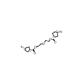 CC(=O)[C@@H]1CC[C@@H](C(=O)OCCOCCOC(=O)[C@H]2CC[C@H](C(C)=O)C2)C1